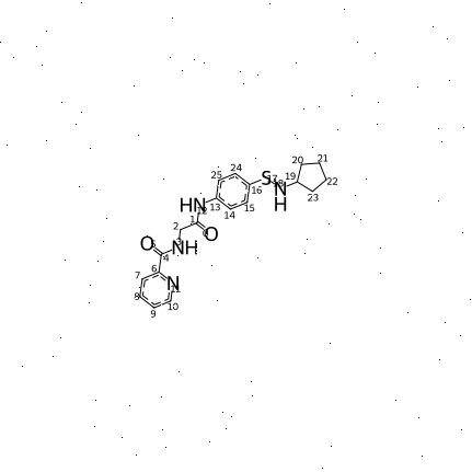 O=C(CNC(=O)c1ccccn1)Nc1ccc(SNC2CCCC2)cc1